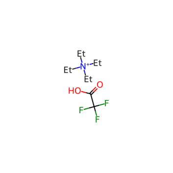 CC[N+](CC)(CC)CC.O=C(O)C(F)(F)F